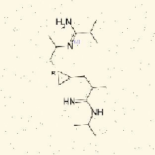 CC(C[C@H]1CC1CC(C)C(=N)NC(C)C)/N=C(\N)C(C)C